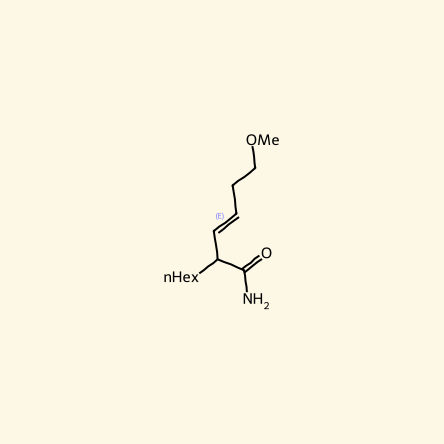 CCCCCCC(/C=C/CCOC)C(N)=O